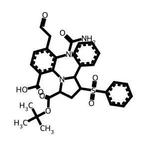 CC(C)(C)OC(=O)C1CC(S(=O)(=O)c2ccccc2)C(c2ccccc2)N1c1c(C(=O)O)ccc(CC=O)c1NC(N)=O